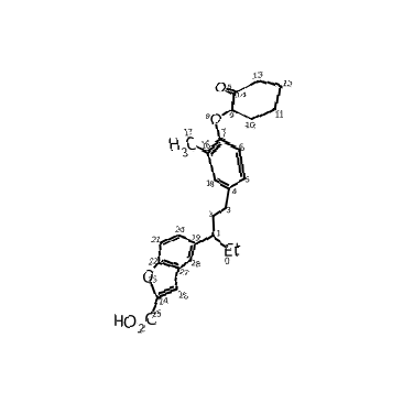 CCC(CCc1ccc(OC2CCCCC2=O)c(C)c1)c1ccc2oc(C(=O)O)cc2c1